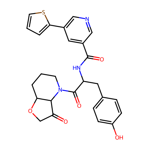 O=C(NC(Cc1ccc(O)cc1)C(=O)N1CCCC2OCC(=O)C21)c1cncc(-c2cccs2)c1